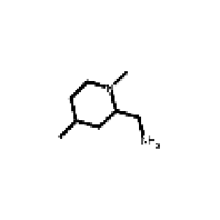 CC1CCN(C)C(CN)C1